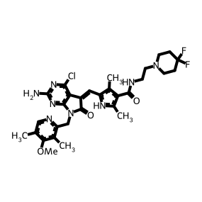 COc1c(C)cnc(CN2C(=O)/C(=C\c3[nH]c(C)c(C(=O)NCCN4CCC(F)(F)CC4)c3C)c3c(Cl)nc(N)nc32)c1C